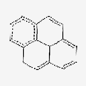 C1=CC2=CCc3cccc4c3C2C(=C1)C=C4